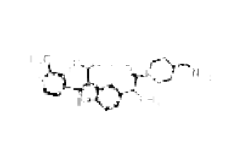 Cc1cc(-c2[nH]c3ccc(C(C)C(=O)N4CCC(CN)CC4)cc3c2C(C)C)ccn1